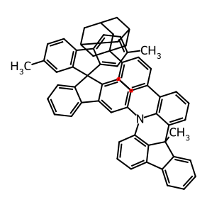 Cc1ccc2c(c1)C1(c3ccccc3-c3cc(N4c5cccc6c5C(C)(c5ccccc5-6)c5cccc(-c6ccc(C78CC9CC(CC(C9)C7)C8)cc6)c54)ccc31)c1cc(C)ccc1-2